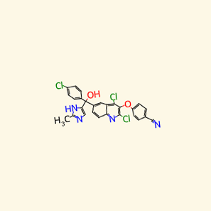 Cc1ncc(C(O)(c2ccc(Cl)cc2)c2ccc3nc(Cl)c(Oc4ccc(C#N)cc4)c(Cl)c3c2)[nH]1